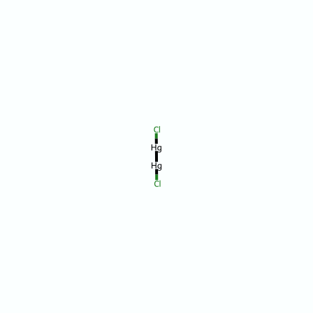 [Cl][Hg][Hg][Cl]